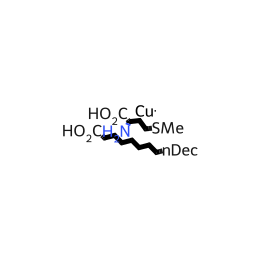 CCCCCCCCCCCCCCCCCC(=O)O.CSCCC(N)C(=O)O.[Cu]